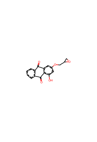 O=C1c2ccccc2C(=O)c2c(O)cc(OCC3CO3)cc21